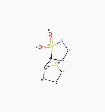 O=S1(=O)NCC2C3CCC(S3)C21